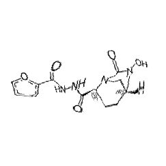 O=C(NNC(=O)[C@@H]1CC[C@@H]2CN1C(=O)N2O)c1ccco1